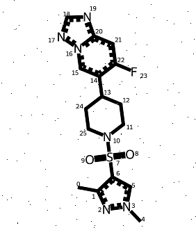 Cc1nn(C)cc1S(=O)(=O)N1CCC(c2cn3ncnc3cc2F)CC1